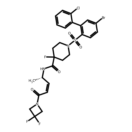 C[C@@H](/C=C\C(=O)N1CC(F)(F)C1)NC(=O)C1(F)CCN(S(=O)(=O)c2ccc(Br)cc2-c2ccccc2Cl)CC1